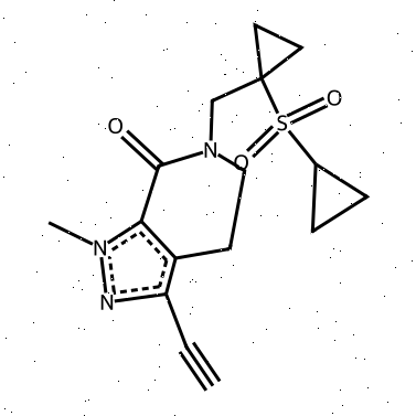 C#Cc1nn(C)c2c1CCN(CC1(S(=O)(=O)C3CC3)CC1)C2=O